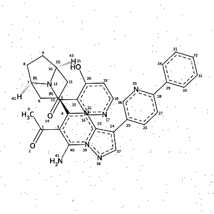 CC(=O)c1c([C@H]2C[C@H]3CC[C@@H](C2)N3C(=O)c2cnccc2O)nc2c(-c3ccc(-c4ccccc4)nc3)cnn2c1N